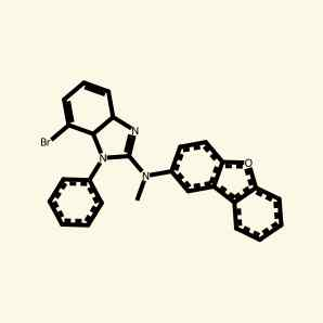 CN(C1=NC2C=CC=C(Br)C2N1c1ccccc1)c1ccc2oc3ccccc3c2c1